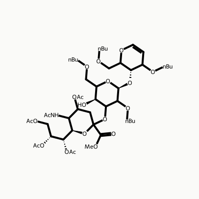 CCCCOCC1O[C@@H](O[C@H]2C(OCCCC)C=COC2COCCCC)C(OCCCC)C(OC2(C(=O)OC)CC(OC(C)=O)C(NC(C)=O)[C@H]([C@H](OC(C)=O)[C@@H](COC(C)=O)OC(C)=O)O2)[C@H]1O